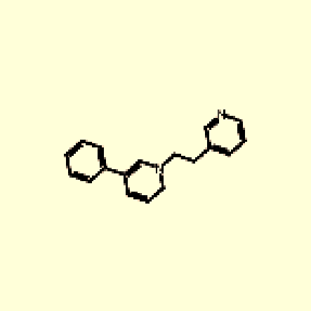 C1=CC(c2ccccc2)=CN(CCc2cccnc2)C1